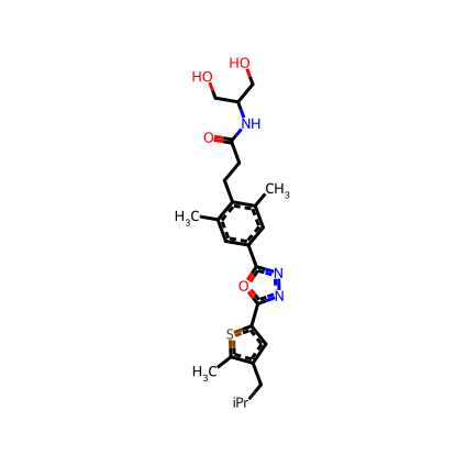 Cc1cc(-c2nnc(-c3cc(CC(C)C)c(C)s3)o2)cc(C)c1CCC(=O)NC(CO)CO